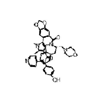 Cc1c(C(=O)N(c2ccncc2)c2ccc(O)cc2)cc(-c2cc3c(cc2C(=O)N2Cc4ccccc4C[C@H]2CN2CCOCC2)OCO3)n1C